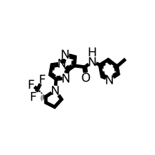 Cc1cncc(NC(=O)c2cnn3ccc(N4CCC[C@@H]4C(F)(F)F)nc23)c1